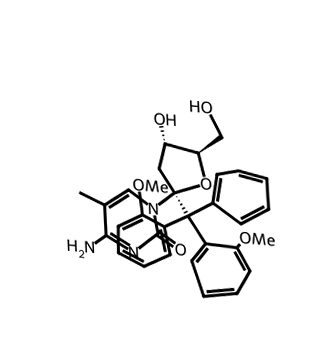 COc1ccccc1C(c1ccccc1)(c1ccccc1OC)[C@]1(n2cc(C)c(N)nc2=O)C[C@H](O)[C@@H](CO)O1